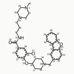 CN1CCN(CCCNC(=O)c2ccc(OC3CCN(Cc4ccc5oc6ccccc6c5c4)CC3)c(Cl)c2)CC1